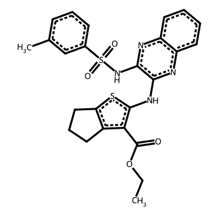 CCOC(=O)c1c(Nc2nc3ccccc3nc2NS(=O)(=O)c2cccc(C)c2)sc2c1CCC2